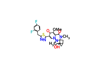 COc1c2n(cc(-c3nnc(Cc4ccc(F)cc4F)s3)c1=O)N(C)C1(CC3C[C@@]31CO)N(C)C2=O